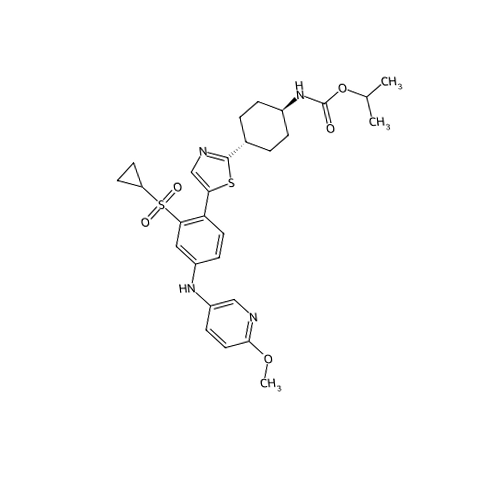 COc1ccc(Nc2ccc(-c3cnc([C@H]4CC[C@H](NC(=O)OC(C)C)CC4)s3)c(S(=O)(=O)C3CC3)c2)cn1